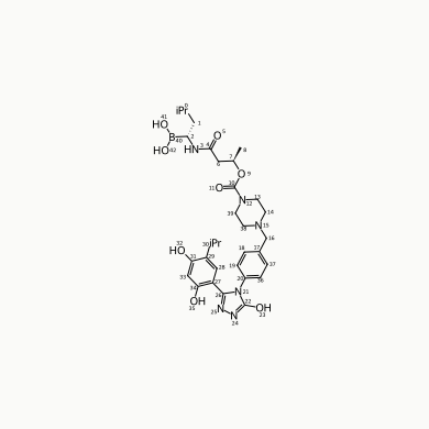 CC(C)C[C@H](NC(=O)C[C@@H](C)OC(=O)N1CCN(Cc2ccc(-n3c(O)nnc3-c3cc(C(C)C)c(O)cc3O)cc2)CC1)B(O)O